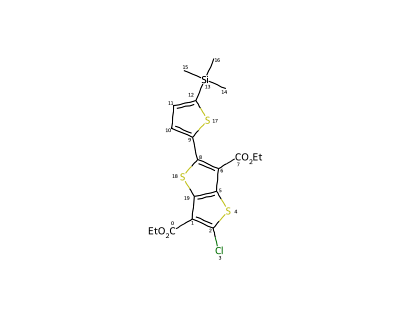 CCOC(=O)c1c(Cl)sc2c(C(=O)OCC)c(-c3ccc([Si](C)(C)C)s3)sc12